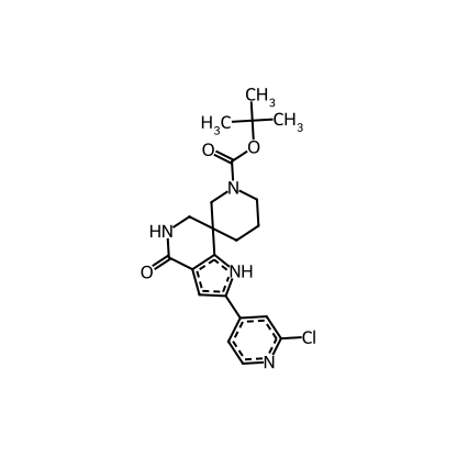 CC(C)(C)OC(=O)N1CCCC2(CNC(=O)c3cc(-c4ccnc(Cl)c4)[nH]c32)C1